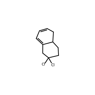 ClC1(Cl)CCC2CC=CC=C2C1